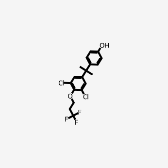 CC(C)(c1ccc(O)cc1)c1cc(Cl)c(OCCC(F)(F)F)c(Cl)c1